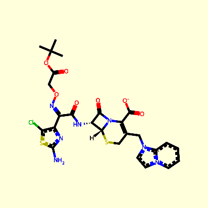 CC(C)(C)OC(=O)CO/N=C(\C(=O)N[C@@H]1C(=O)N2C(C(=O)[O-])=C(Cn3cc[n+]4ccccc34)CS[C@H]12)c1nc(N)sc1Cl